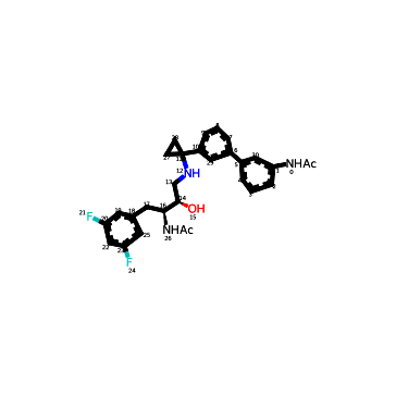 CC(=O)Nc1cccc(-c2cccc(C3(NC[C@@H](O)[C@H](Cc4cc(F)cc(F)c4)NC(C)=O)CC3)c2)c1